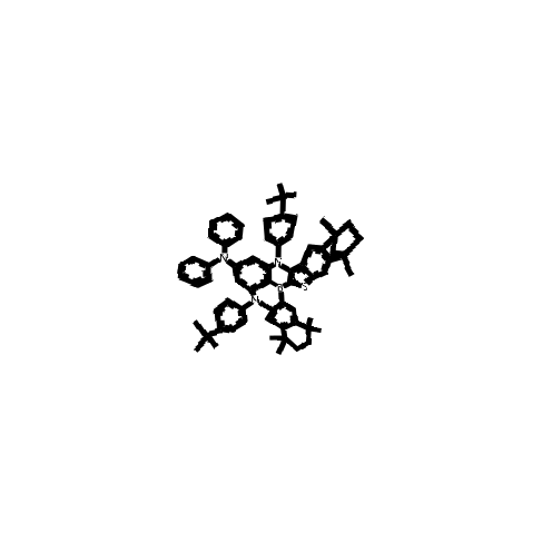 CC(C)(C)c1ccc(N2c3cc4c(cc3B3c5sc6cc7c(cc6c5N(c5ccc(C(C)(C)C)cc5)c5cc(N(c6ccccc6)c6ccccc6)cc2c53)C2(C)CCC7(C)C2)C(C)(C)CCC4(C)C)cc1